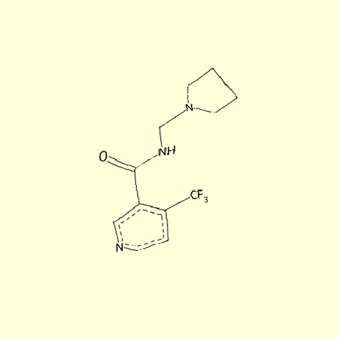 O=C(NCN1CCCC1)c1cnccc1C(F)(F)F